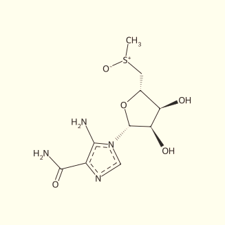 C[S+]([O-])C[C@H]1O[C@@H](n2cnc(C(N)=O)c2N)[C@H](O)[C@@H]1O